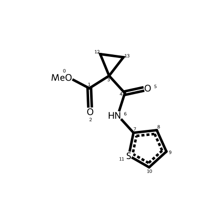 COC(=O)C1(C(=O)Nc2cccs2)CC1